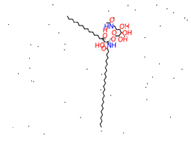 CCCCCCCCCCCCCCCCCCCCCCCCCC(=O)N[C@@H](COC1OC(CNC(C)=O)C(O)C(O)C1O)C(O)[C@H](O)CCCCCCCCCCCCCC